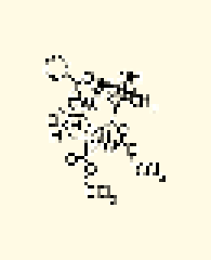 CC(=O)O[C@@]12CO[C@@H]1C[C@H](OC(=O)OCC(Cl)(Cl)Cl)[C@@]1(C)C(=O)[C@H](OC(=O)OCC(Cl)(Cl)Cl)C3=C(C)[C](O)C[C@@](O)([C@@H](OC(=O)c4ccccc4)[C@H]21)C3(C)C